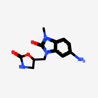 Cn1c(=O)n(CC2CNC(=O)O2)c2cc(N)ccc21